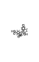 O=C(O)c1ccc(OCC2(CO)CCCc3cc(Cl)ccc32)c([N+](=O)[O-])c1